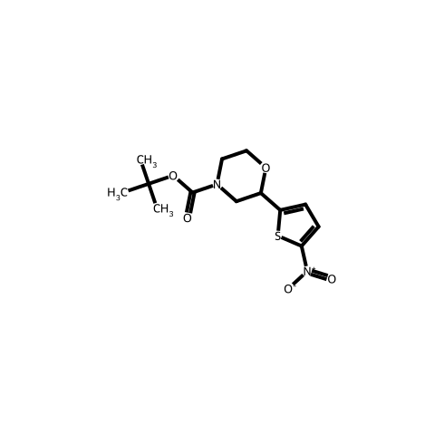 CC(C)(C)OC(=O)N1CCOC(c2ccc([N+](=O)[O-])s2)C1